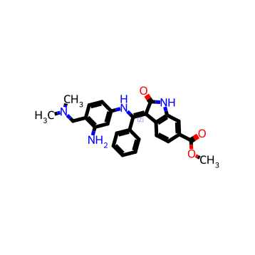 COC(=O)c1ccc2c(c1)NC(=O)/C2=C(\Nc1ccc(CN(C)C)c(N)c1)c1ccccc1